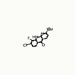 CC(C)(C)c1ccc2c(=O)c3ccc(Cl)c(F)c3[nH]c2n1